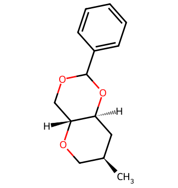 C[C@H]1CO[C@@H]2COC(c3ccccc3)O[C@H]2C1